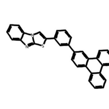 c1cc(-c2ccc3c4ccccc4c4ccccc4c3c2)cc(-c2cn3c(nc4ccccc43)s2)c1